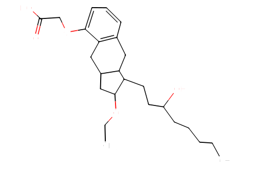 CCCCCC(O)CCC1C(OCC)CC2Cc3c(cccc3OCC(=O)O)CC21